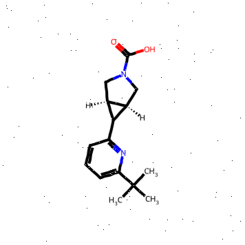 CC(C)(C)c1cccc(C2[C@H]3CN(C(=O)O)C[C@@H]23)n1